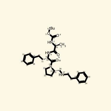 C[C@H](NC(=O)OC(C)(C)C)C(=O)N[C@@H](CCc1ccccc1)C(=O)N1CCC[C@H]1CNCCc1ccccc1